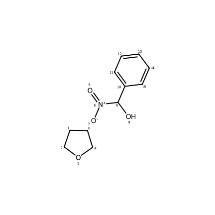 C1CCOC1.O=[N+]([O-])C(O)c1ccccc1